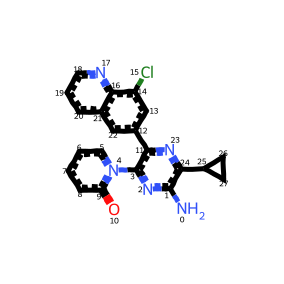 Nc1nc(-n2ccccc2=O)c(-c2cc(Cl)c3ncccc3c2)nc1C1CC1